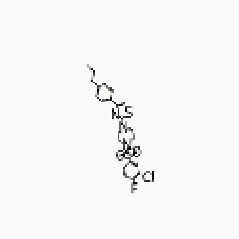 CCCc1ccc(-c2csc(N3CCN(S(=O)(=O)c4ccc(F)c(Cl)c4)CC3)n2)cc1